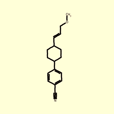 COCC=CC1CCC(c2ccc(C#N)cc2)CC1